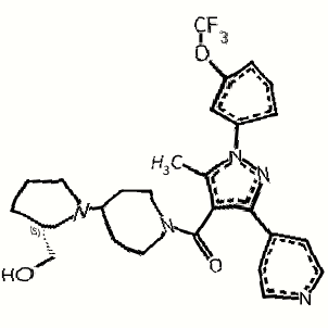 Cc1c(C(=O)N2CCC(N3CCC[C@H]3CO)CC2)c(-c2ccncc2)nn1-c1cccc(OC(F)(F)F)c1